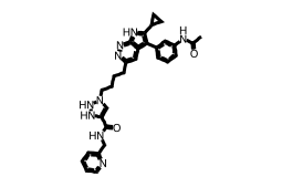 CC(=O)Nc1cccc(-c2c(C3CC3)[nH]c3nnc(CCCCN4C=C(C(=O)NCc5ccccn5)NN4)cc23)c1